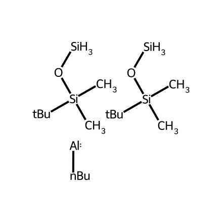 CC(C)(C)[Si](C)(C)O[SiH3].CC(C)(C)[Si](C)(C)O[SiH3].CCC[CH2][Al]